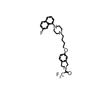 O=C(N1Cc2ccc(OCCCCN3CCN(c4cccc5ccc(F)cc45)CC3)cc2C1)C(F)(F)F